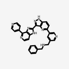 c1ccc(CNCc2cncc(-c3ccc4[nH]nc(-c5nc6c(-c7ccncc7)nccc6[nH]5)c4n3)c2)cc1